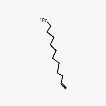 C=CCCCCCCCCCC(C)C